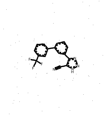 N#Cc1[nH]nnc1-c1cccc(-c2cccc(C(F)(F)F)c2)c1